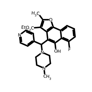 CCOC(=O)c1c(C)oc2c1c(C(c1ccncc1)N1CCN(C)CC1)c(O)c1c(F)cccc12